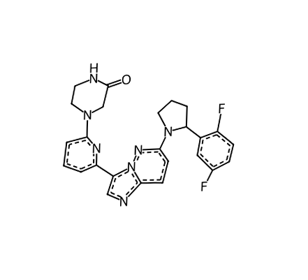 O=C1CN(c2cccc(-c3cnc4ccc(N5CCCC5c5cc(F)ccc5F)nn34)n2)CCN1